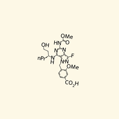 CCC[C@@H](CCO)Nc1nc(NC(=O)OC)nc2c(F)nn(Cc3ccc(C(=O)O)cc3OC)c12